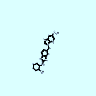 O=C(O)c1cnc2c(c1)ncn2Cc1ccc2nc(NC3CCCCC3O)sc2c1